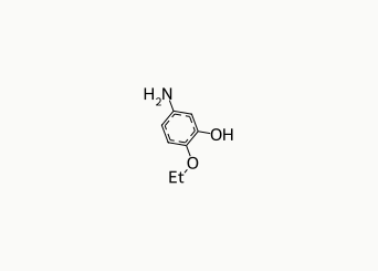 CCOc1ccc(N)cc1O